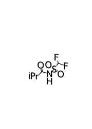 CC(C)C(=O)NS(=O)(=O)C(F)F